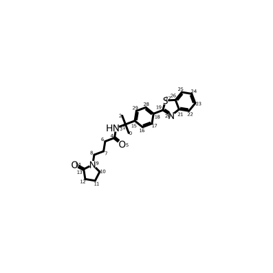 CC(C)(NC(=O)CCCN1CCCC1=O)c1ccc(-c2nc3ccccc3s2)cc1